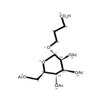 CC(=O)OC[C@H]1O[C@H](OCCCC(=O)O)[C@@H](OC(C)=O)[C@@H](OC(C)=O)[C@@H]1OC(C)=O